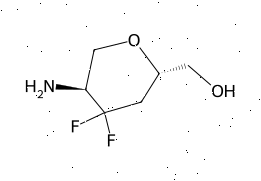 N[C@H]1CO[C@H](CO)CC1(F)F